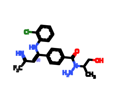 CC(CO)N(N)C(=O)c1ccc(/C(=C/C(=N)C(F)(F)F)Nc2ccccc2Cl)cc1